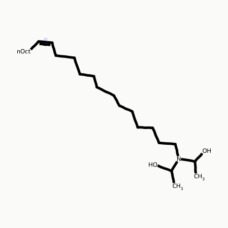 CCCCCCCC/C=C\CCCCCCCCCCCCN(C(C)O)C(C)O